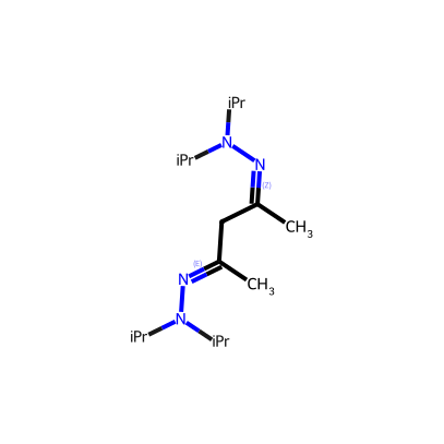 C/C(C/C(C)=N/N(C(C)C)C(C)C)=N/N(C(C)C)C(C)C